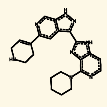 C1=C(c2cc3c(-c4nc5c(N6CCCCC6)nccc5[nH]4)n[nH]c3cn2)CCNC1